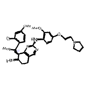 CN/C(=C1\C(=N)CCc2cnc(Nc3ccc(OCCN4CCCC4)cc3OC)nc21)c1ccc(OC)cc1Cl